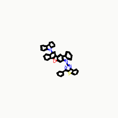 c1ccc(-c2nc(-n3c4ccccc4c4cc5c(cc43)oc3c4ccccc4c(-n4c6ccccc6c6ccccc64)cc53)nc3c2sc2ccccc23)cc1